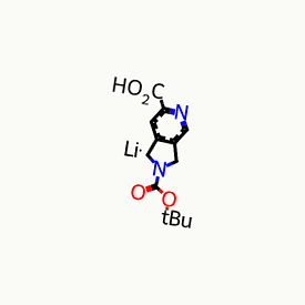 CC(C)(C)OC(=O)N1Cc2cnc(C(=O)O)cc2C1.[Li]